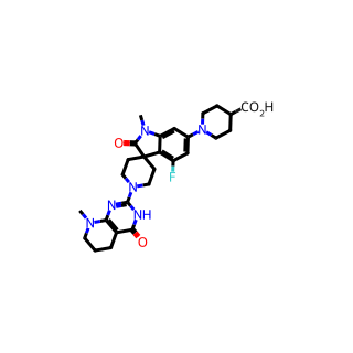 CN1CCCc2c1nc(N1CCC3(CC1)C(=O)N(C)c1cc(N4CCC(C(=O)O)CC4)cc(F)c13)[nH]c2=O